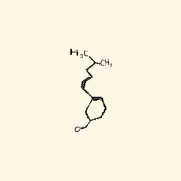 CC(C)CC=CC1=CCCC(C=O)C1